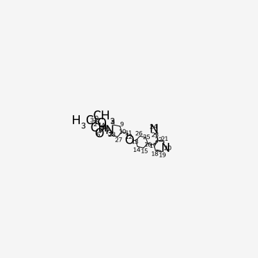 CC(C)(C)OC(=O)N1CCC(COC2CCC(c3ccncc3C#N)CC2)CC1